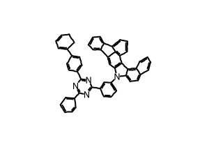 C1=CCCC(c2ccc(-c3nc(-c4ccccc4)nc(-c4cccc(-n5c6ccc7ccccc7c6c6c7cccc8c7c(cc65)-c5ccccc5-8)c4)n3)cc2)=C1